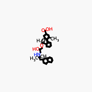 Cc1cc(C(=O)O)cc(C)c1-c1ccccc1[C@@H](C)OC[C@H](O)CNC(C)(C)Cc1ccc2ccccc2c1